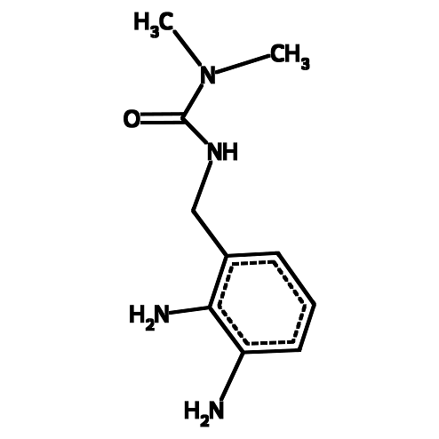 CN(C)C(=O)NCc1cccc(N)c1N